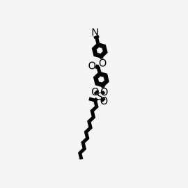 CCCCCCCCCCCC(C)S(=O)(=O)Oc1ccc(C(=O)Oc2ccc(C#N)cc2)cc1